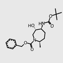 C[C@@H]1CC[C@H](NC(=O)OC(C)(C)C)[C@@H](O)CN1C(=O)OCc1ccccc1